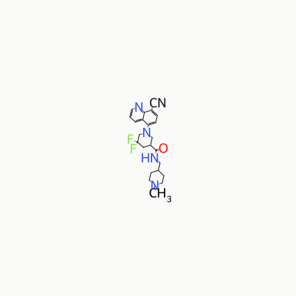 CN1CCC(CNC(=O)C2CN(c3ccc(C#N)c4ncccc34)CC(F)(F)C2)CC1